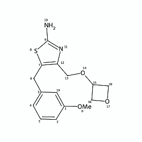 COc1cccc(Cc2sc(N)nc2COC2COC2)c1